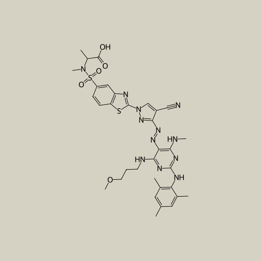 CNc1nc(Nc2c(C)cc(C)cc2C)nc(NCCCOC)c1N=Nc1nn(-c2nc3cc(S(=O)(=O)N(C)C(C)C(=O)O)ccc3s2)cc1C#N